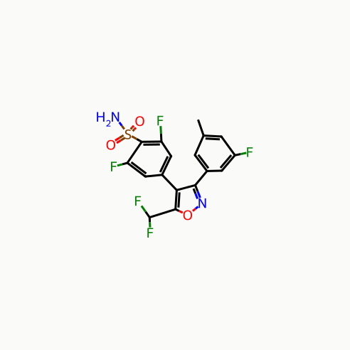 Cc1cc(F)cc(-c2noc(C(F)F)c2-c2cc(F)c(S(N)(=O)=O)c(F)c2)c1